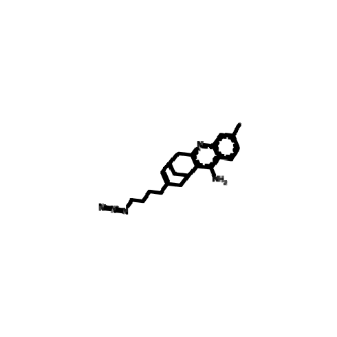 Cc1ccc2c(N)c3c(nc2c1)CC1C=C(CCCCN=[N+]=[N-])CC3C1